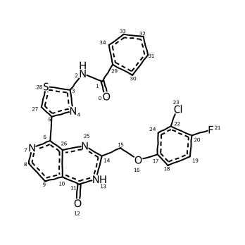 O=C(Nc1nc(-c2nccc3c(=O)[nH]c(COc4ccc(F)c(Cl)c4)nc23)cs1)c1ccccc1